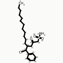 CCCCCCCCCCCCC(CC(=O)CS(N)(=O)=O)C(Cl)c1ccccc1